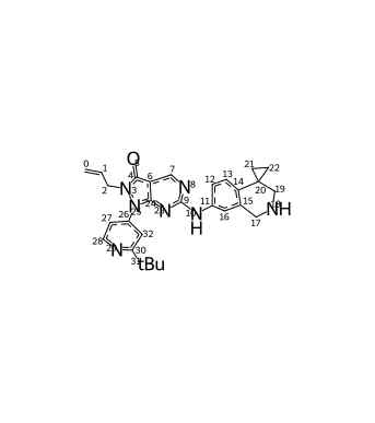 C=CCn1c(=O)c2cnc(Nc3ccc4c(c3)CNCC43CC3)nc2n1-c1ccnc(C(C)(C)C)c1